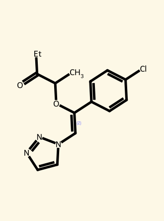 CCC(=O)C(C)O/C(=C\n1ccnn1)c1ccc(Cl)cc1